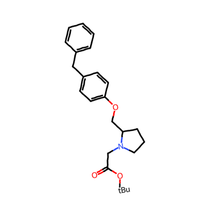 CC(C)(C)OC(=O)CN1CCCC1COc1ccc(Cc2ccccc2)cc1